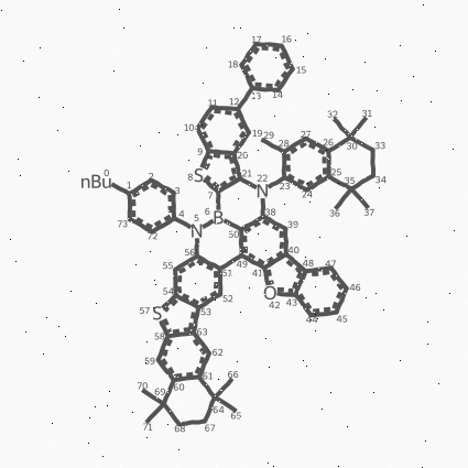 CCCCc1ccc(N2B3c4sc5ccc(-c6ccccc6)cc5c4N(c4cc5c(cc4C)C(C)(C)CCC5(C)C)c4cc5c(oc6ccccc65)c(c43)-c3cc4c(cc32)sc2cc3c(cc24)C(C)(C)CCC3(C)C)cc1